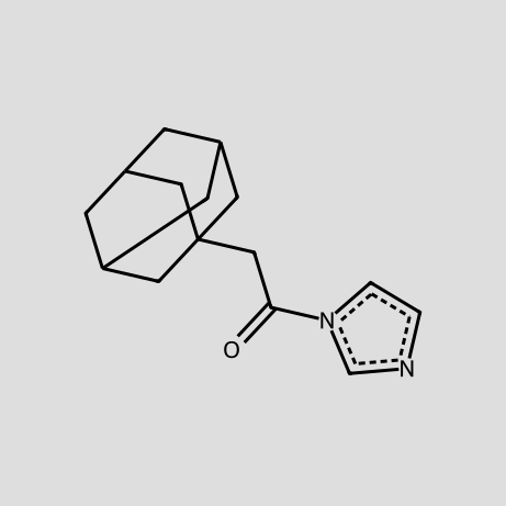 O=C(CC12CC3CC(CC(C3)C1)C2)n1ccnc1